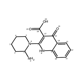 NC1CCCCN1c1[nH]c2ccccc2c(=O)c1C(=O)O